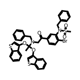 CC(Oc1csc2ccccc12)(Oc1csc2ccccc12)N(CC(=O)c1ccc(Br)c(N(Cc2ccccc2)S(C)(=O)=O)c1)Cc1ccccc1